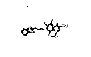 C[C@H]1COc2c(NCCCc3nc4ccccc4[nH]3)c(F)c(N)c3c(=O)c(C(=O)O)cn1c23